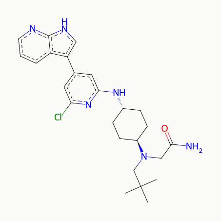 CC(C)(C)CN(CC(N)=O)[C@H]1CC[C@H](Nc2cc(-c3c[nH]c4ncccc34)cc(Cl)n2)CC1